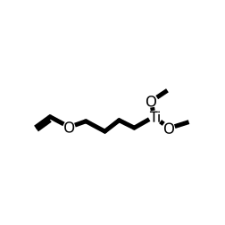 C=COCCC[CH2][Ti]([O]C)[O]C